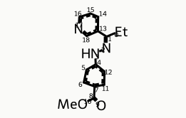 CCC(=NNc1ccc(C(=O)OC)cc1)c1cccnc1